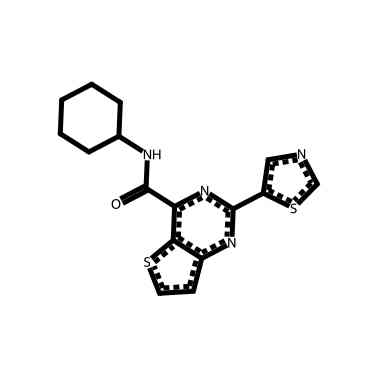 O=C(NC1CCCCC1)c1nc(-c2cncs2)nc2ccsc12